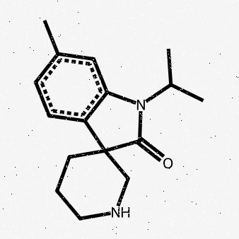 Cc1ccc2c(c1)N(C(C)C)C(=O)C21CCCNC1